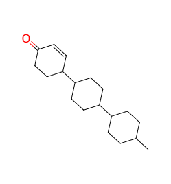 CC1CCC(C2CCC(C3C=CC(=O)CC3)CC2)CC1